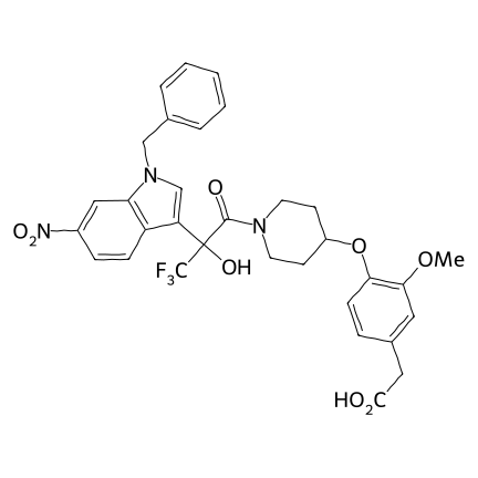 COc1cc(CC(=O)O)ccc1OC1CCN(C(=O)C(O)(c2cn(Cc3ccccc3)c3cc([N+](=O)[O-])ccc23)C(F)(F)F)CC1